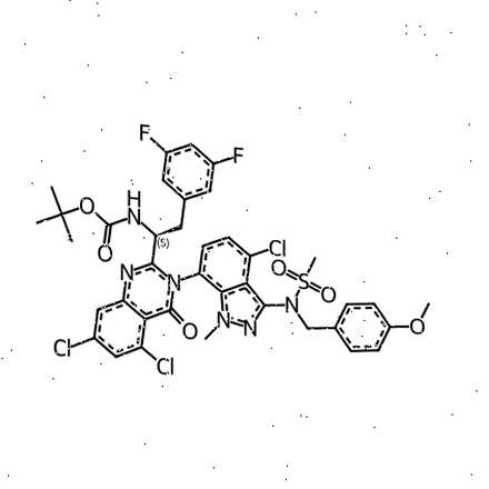 COc1ccc(CN(c2nn(C)c3c(-n4c([C@H](Cc5cc(F)cc(F)c5)NC(=O)OC(C)(C)C)nc5cc(Cl)cc(Cl)c5c4=O)ccc(Cl)c23)S(C)(=O)=O)cc1